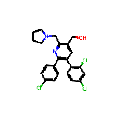 OCc1cc(-c2ccc(Cl)cc2Cl)c(-c2ccc(Cl)cc2)nc1CN1CCCC1